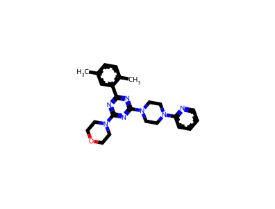 Cc1ccc(C)c(-c2nc(N3CCOCC3)nc(N3CCN(c4ccccn4)CC3)n2)c1